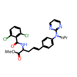 CCCN(c1ccc(C=CCC(NC(=O)c2c(Cl)cccc2Cl)C(=O)OC)cc1)c1ncccn1